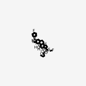 C[C@]12Cc3cnn(-c4ccc(F)cc4)c3C=C1CC[C@@H]1[C@@H]2[C@@H](O)C[C@@]2(C)[C@H]1CC[C@]2(OC(=O)[C@H]1CCCO1)C(=O)SCF